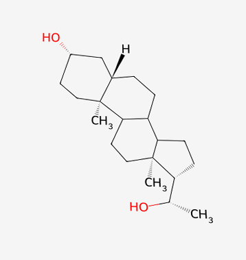 C[C@H](O)[C@H]1CCC2C3CC[C@H]4C[C@@H](O)CC[C@]4(C)C3CC[C@@]21C